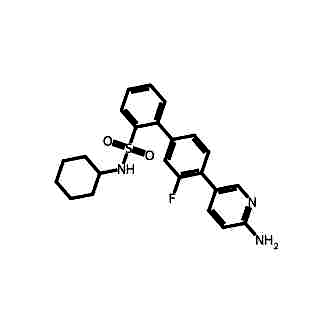 Nc1ccc(-c2ccc(-c3ccccc3S(=O)(=O)NC3CCCCC3)cc2F)cn1